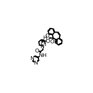 O=C(C[N+]12CCC(CC1)[C@@H](OC(=O)C1(O)c3ccccc3C=Cc3ccccc31)C2)Nc1cncnc1